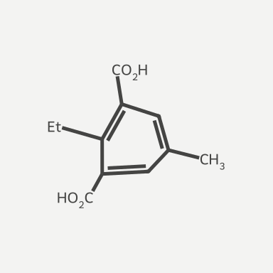 CCc1c(C(=O)O)cc(C)cc1C(=O)O